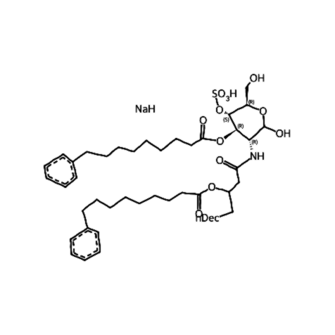 CCCCCCCCCCCC(CC(=O)N[C@H]1C(O)O[C@H](CO)[C@@H](OS(=O)(=O)O)[C@@H]1OC(=O)CCCCCCCCc1ccccc1)OC(=O)CCCCCCCCc1ccccc1.[NaH]